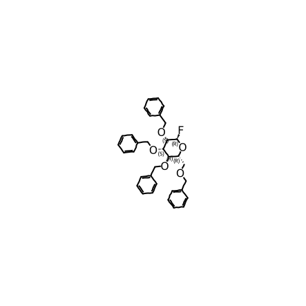 F[C@H]1O[C@H](COCc2ccccc2)[C@@H](OCc2ccccc2)[C@H](OCc2ccccc2)[C@@H]1OCc1ccccc1